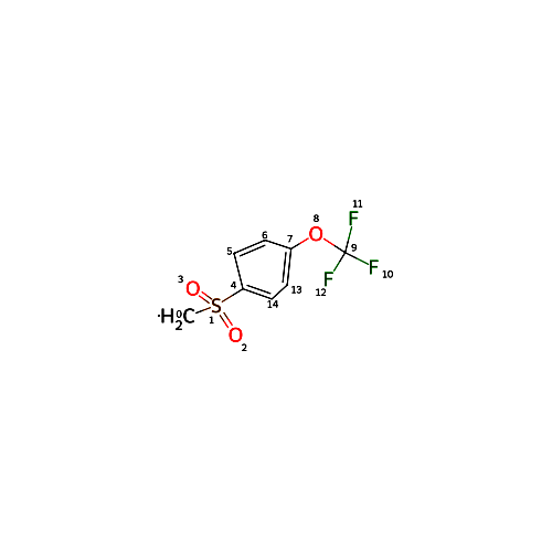 [CH2]S(=O)(=O)c1ccc(OC(F)(F)F)cc1